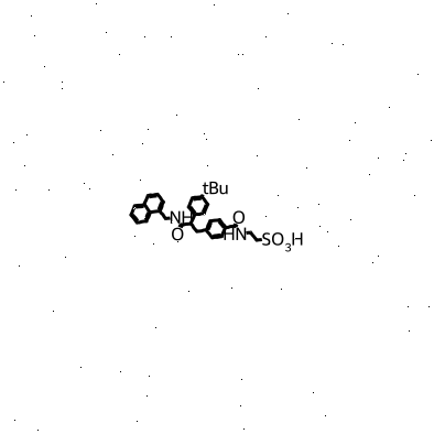 CC(C)(C)c1ccc(C(Cc2ccc(C(=O)NCCS(=O)(=O)O)cc2)C(=O)NCc2cccc3ccccc23)cc1